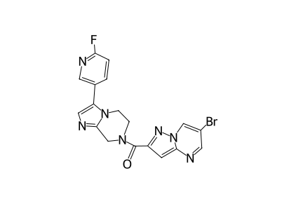 O=C(c1cc2ncc(Br)cn2n1)N1CCn2c(-c3ccc(F)nc3)cnc2C1